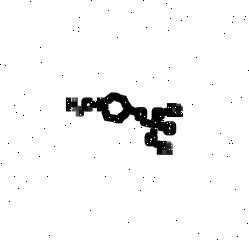 CCOP(=O)(COC1CCN(C)CC1)OCC